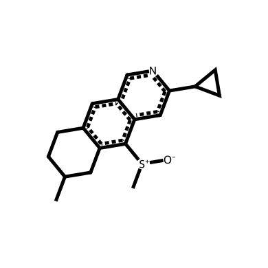 CC1CCc2cc3cnc(C4CC4)cc3c([S+](C)[O-])c2C1